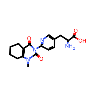 Cn1c2c(c(=O)n(-c3ccc(CC(N)C(=O)O)cn3)c1=O)CCCC2